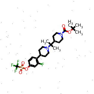 CC(C)(C)OC(=O)N1CCC(C(C)(C)N2CCC(c3ccc(OS(=O)(=O)C(F)(F)F)cc3F)CC2)CC1